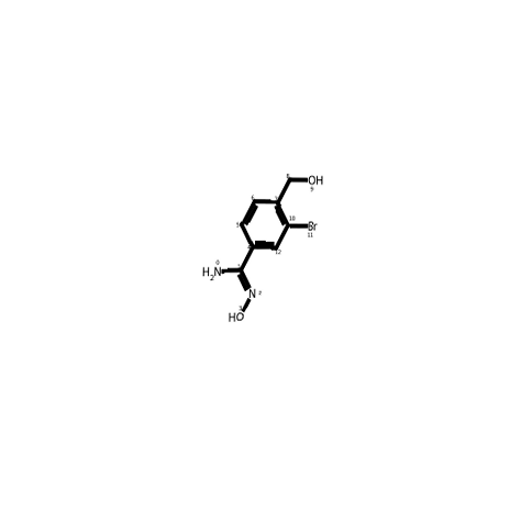 N/C(=N\O)c1ccc(CO)c(Br)c1